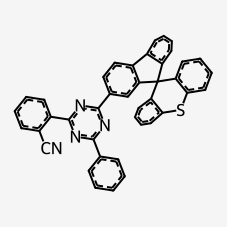 N#Cc1ccccc1-c1nc(-c2ccccc2)nc(-c2ccc3c(c2)C2(c4ccccc4Sc4ccccc42)c2ccccc2-3)n1